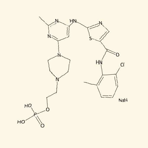 Cc1nc(Nc2ncc(C(=O)Nc3c(C)cccc3Cl)s2)cc(N2CCN(CCOP(=O)(O)O)CC2)n1.[NaH]